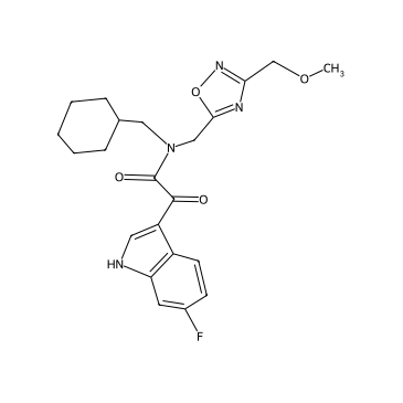 COCc1noc(CN(CC2CCCCC2)C(=O)C(=O)c2c[nH]c3cc(F)ccc23)n1